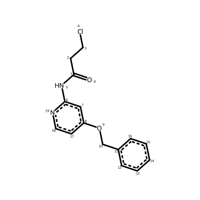 O=C(CCCl)Nc1cc(OCc2ccccc2)ccn1